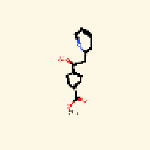 COC(=O)c1ccc(C(O)Cc2ccccn2)cc1